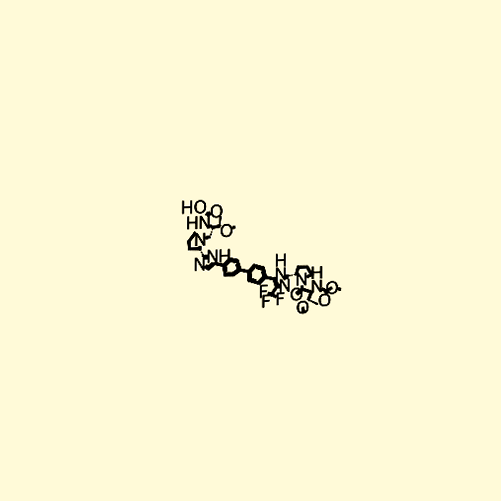 COC(=O)N[C@H](C(=O)N1CCC[C@H]1c1nc(C(F)(F)F)c(-c2ccc(-c3ccc(-c4cnc([C@@H]5CCCN5C[C@H](NC(=O)O)[C@@H](C)OC)[nH]4)cc3)cc2)[nH]1)[C@@H](C)OC